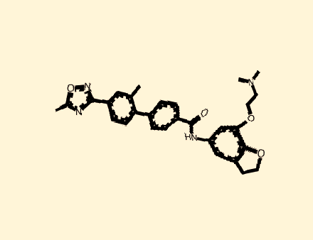 Cc1nc(-c2ccc(-c3ccc(C(=O)Nc4cc5c(c(OCCN(C)C)c4)OCC5)cc3)c(C)c2)no1